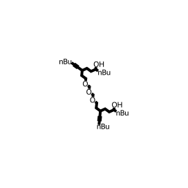 CCCCC#CC(CCOCOCOCCC(C#CCCCC)CCC(O)CCCC)CCC(O)CCCC